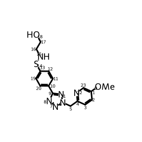 COc1ccc(Cn2nnc(-c3ccc(SNCCO)cc3)n2)nc1